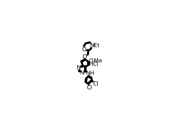 CCN1CCCOC(COc2cc3ncnc(Nc4ccc(Cl)c(Cl)c4)c3cc2OC)C1.Cl